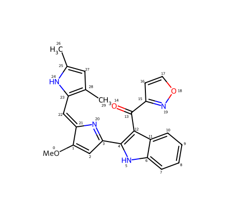 COC1=CC(c2[nH]c3ccccc3c2C(=O)c2ccon2)=NC1=Cc1[nH]c(C)cc1C